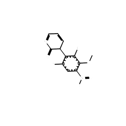 COc1c([N+](=O)[O-])cc(F)c(C2C=CC=NC2=O)c1F